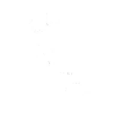 CC(C)(C)OC(=O)NCCNS(=O)(=O)c1ccc(Cl)c([N+](=O)[O-])c1